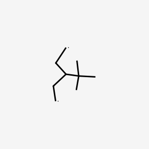 [CH2]CC(C[CH2])C(C)(C)C